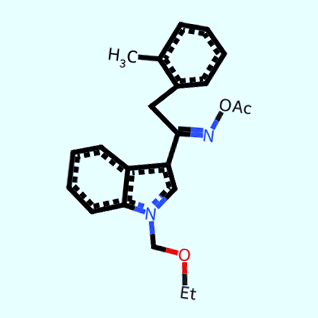 CCOCn1cc(/C(Cc2ccccc2C)=N/OC(C)=O)c2ccccc21